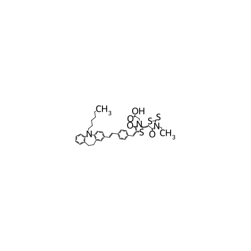 CCCCCCN1c2ccccc2CCc2cc(/C=C/c3ccc(/C=c4/s/c(=C5/SC(=S)N(CC)C5=O)n(CC(=O)O)c4=O)cc3)ccc21